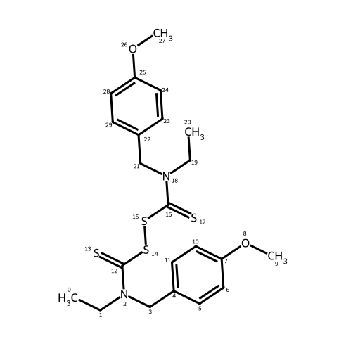 CCN(Cc1ccc(OC)cc1)C(=S)SSC(=S)N(CC)Cc1ccc(OC)cc1